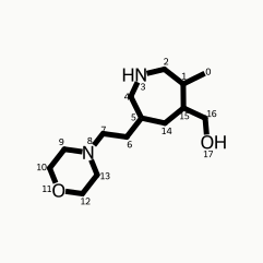 CC1CNCC(CCN2CCOCC2)CC1CO